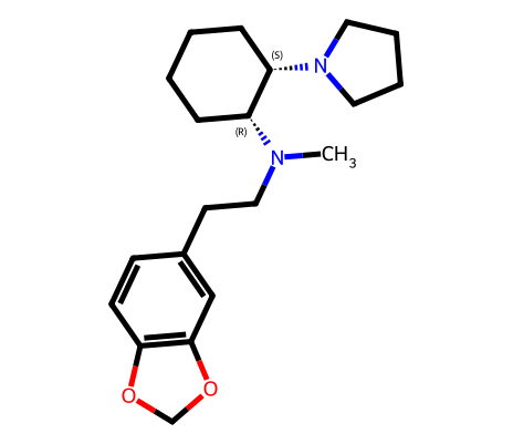 CN(CCc1ccc2c(c1)OCO2)[C@@H]1CCCC[C@@H]1N1CCCC1